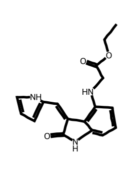 CCOC(=O)CNc1cccc2c1C(=Cc1ccc[nH]1)C(=O)N2